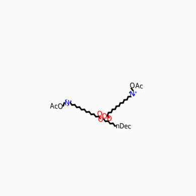 CCCCCCCCCCCCCCCC(OC(=O)CCCCCCCCCCCC[N+](C)(C)CCOC(C)=O)OC(=O)CCCCCCCCCCCC[N+](C)(C)CCOC(C)=O